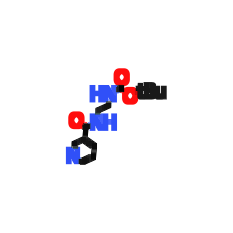 CC(C)(C)OC(=O)NCCNC(=O)c1cccnc1